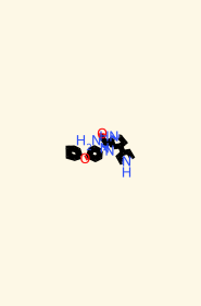 NC(=O)c1c2c(nn1-c1ccc(Oc3ccccc3)cc1)C(C1CCNCC1)CCN2